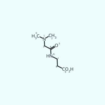 CN(C)CC(=O)NCCC(=O)O